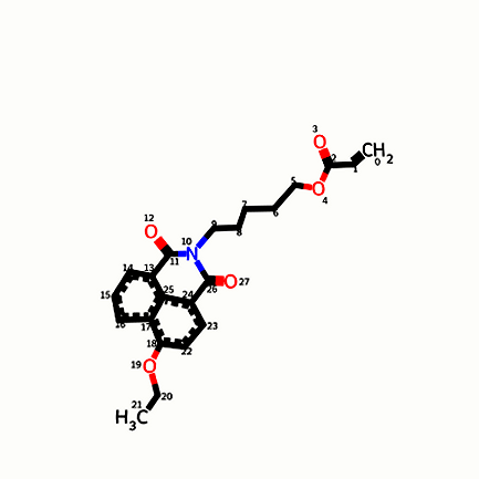 C=CC(=O)OCCCCCN1C(=O)c2cccc3c(OCC)ccc(c23)C1=O